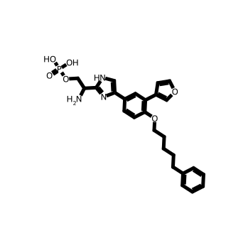 NC(COP(=O)(O)O)c1nc(-c2ccc(OCCCCCc3ccccc3)c(-c3ccoc3)c2)c[nH]1